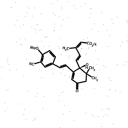 COc1ccc(/C=C/C2=CC(=O)CC(C)(C)[C@@]2(O)/C=C/C(C)=C\C(=O)O)cc1C#N